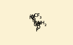 Cc1nc2c(n1CC(F)(F)F)CN([C@H]1CO[C@H](c3cc(F)ccc3F)[C@@H](N)C1)C2